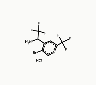 Cl.NC(c1cc(C(F)(F)F)ncc1Br)C(F)(F)F